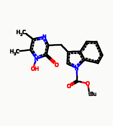 Cc1nc(Cc2cn(C(=O)OC(C)(C)C)c3ccccc23)c(=O)n(O)c1C